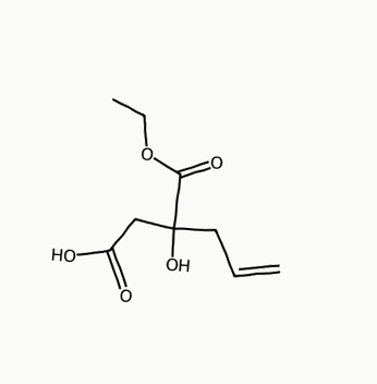 C=CCC(O)(CC(=O)O)C(=O)OCC